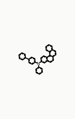 c1ccc(-c2ccc(N(c3ccccc3)c3ccc4c(ccc5ccc6ccccc6c54)c3)cc2)cc1